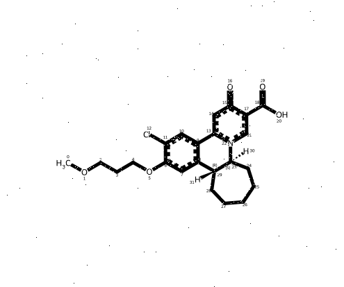 COCCCOc1cc2c(cc1Cl)-c1cc(=O)c(C(=O)O)cn1[C@H]1CCCCC[C@H]21